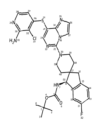 CC(C)(C)OC(=O)N[C@@H]1c2cc(F)ccc2CC12CCN(c1ncc(Sc3ccnc(N)c3Cl)c3nccn13)CC2